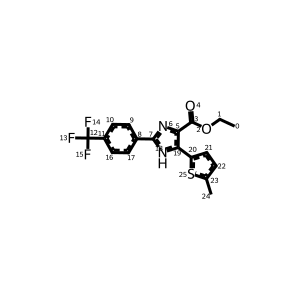 CCOC(=O)c1nc(-c2ccc(C(F)(F)F)cc2)[nH]c1-c1ccc(C)s1